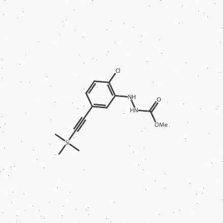 COC(=O)NNc1cc(C#C[Si](C)(C)C)ccc1Cl